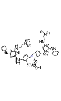 CCN(CC)CCNc1nc(Nc2ccccc2)nc(Nc2ccc(/C=C/c3ccc(Nc4nc(NCCN(CC)CC)nc(Nc5ccccc5)n4)cc3S(=O)(=O)O)c(SOOO)c2)n1